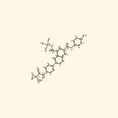 O=C(Nc1ccc(-c2ccc3nc(NCc4ccc(F)cc4)nc(NCC(F)(F)F)c3n2)cc1)C1(O)CC1